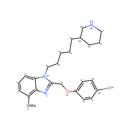 COc1cccc2c1nc(COc1ccc(Cl)cc1)n2CCCCCC1CCCNC1